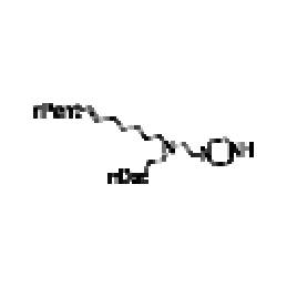 CCCCCC=CCCCCCN(CCCCCCCCCCCC)CCN1CCNCC1